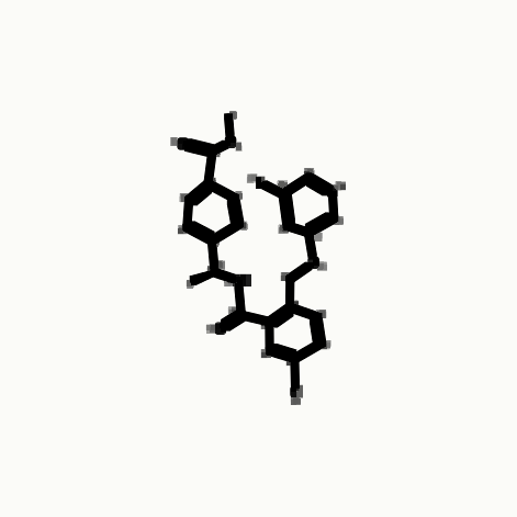 COC(=O)c1ccc([C@H](C)NC(=O)c2cc(Cl)ccc2COc2cncc(F)c2)cc1